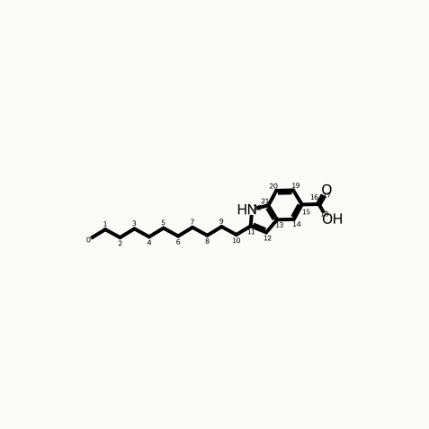 CCCCCCCCCCCc1cc2cc(C(=O)O)ccc2[nH]1